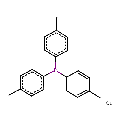 CC1=CCC(P(c2ccc(C)cc2)c2ccc(C)cc2)C=C1.[Cu]